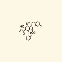 COC(=O)c1nc(NS(=O)(=O)Cc2ccccc2)c2cc(Cc3ccc(F)cc3)cnc2c1O